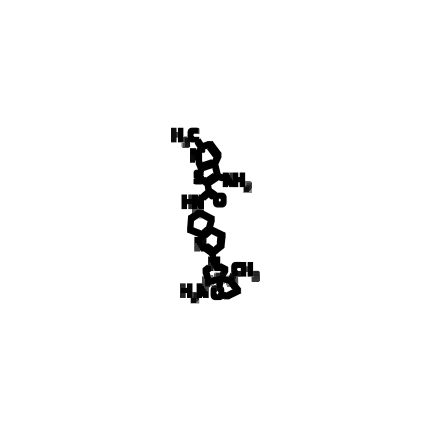 Cc1ccc2c(N)c(C(=O)N[C@H]3CCc4nc(N5C[C@H](N)[C@@]6(C5)OCC[C@@H]6C)ccc4C3)sc2n1